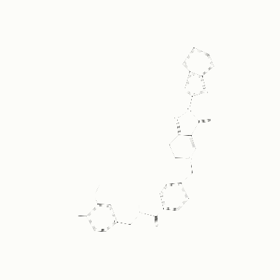 COc1cc(CNC(=O)c2ccc(CN3C=C4C(=O)N(c5nc6ccccc6s5)N=C4CC3)cc2)ccc1C